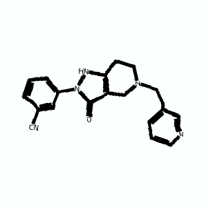 N#Cc1cccc(-n2[nH]c3c(c2=O)CN(Cc2cccnc2)CC3)c1